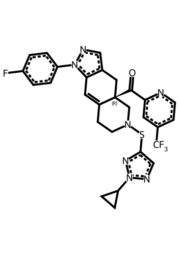 O=C(c1cc(C(F)(F)F)ccn1)[C@]12Cc3cnn(-c4ccc(F)cc4)c3C=C1CCN(Sc1cnn(C3CC3)n1)C2